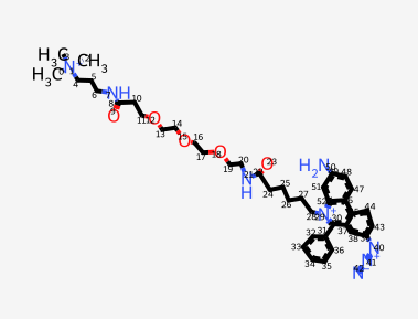 C[N+](C)(C)CCCNC(=O)CCOCCOCCOCCNC(=O)CCCCC[n+]1c(-c2ccccc2)c2cc(N=[N+]=[N-])ccc2c2ccc(N)cc21